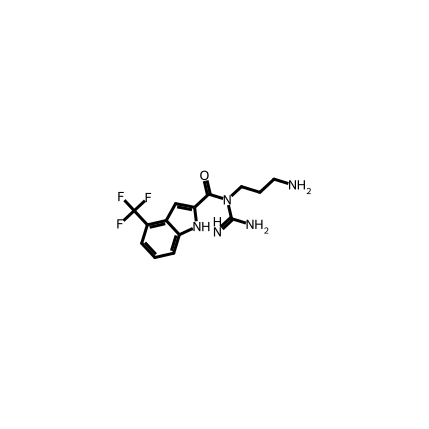 N=C(N)N(CCCN)C(=O)c1cc2c(C(F)(F)F)cccc2[nH]1